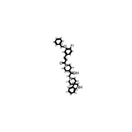 O=C(/C=C/c1ccc(F)c(OCc2ccccc2)c1)N1CCC(C(O)CN2CCC3(CC2)CNc2ccccc23)CC1